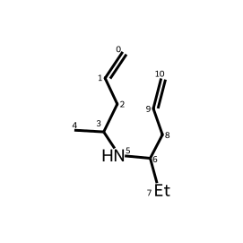 C=CCC(C)NC(CC)CC=C